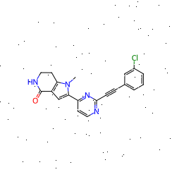 Cn1c(-c2ccnc(C#Cc3cccc(Cl)c3)n2)cc2c1CCNC2=O